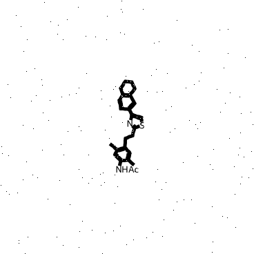 CC(=O)Nc1cc(C)c(CCc2nc(-c3ccc4c(c3)CCCC4)cs2)cc1C